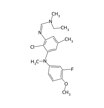 CCN(C)/C=N\c1cc(C)cc(N(C)c2ccc(OC)c(F)c2)c1Cl